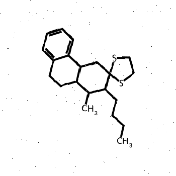 CCCCC1C(C)C2CCc3ccccc3C2CC12SCCS2